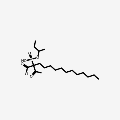 CCCCCCCCCCCCC(C(=O)Cl)(C(=O)I)P(=O)(O)OC(C)CC